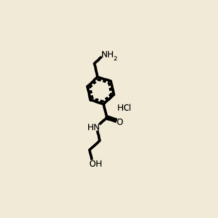 Cl.NCc1ccc(C(=O)NCCO)cc1